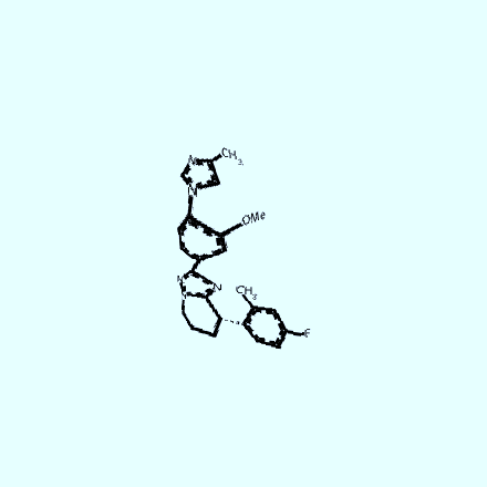 COc1cc(-c2nc3n(n2)CCC[C@H]3c2ccc(F)cc2C)ccc1-n1cnc(C)c1